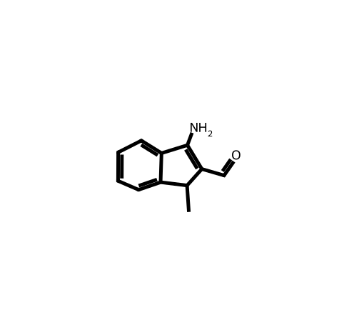 CC1C(C=O)=C(N)c2ccccc21